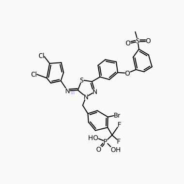 CS(=O)(=O)c1cccc(Oc2cccc(-c3nn(Cc4ccc(C(F)(F)P(=O)(O)O)c(Br)c4)/c(=N/c4ccc(Cl)c(Cl)c4)s3)c2)c1